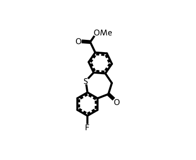 COC(=O)c1ccc2c(c1)Sc1ccc(F)cc1C(=O)C2